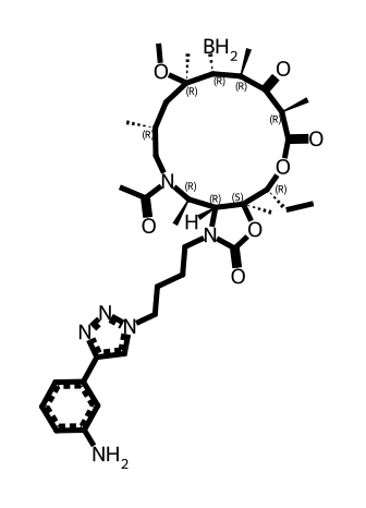 B[C@@H]1[C@@H](C)C(=O)[C@@H](C)C(=O)O[C@H](CC)[C@@]2(C)OC(=O)N(CCCCn3cc(-c4cccc(N)c4)nn3)[C@@H]2[C@@H](C)N(C(C)=O)C[C@H](C)C[C@@]1(C)OC